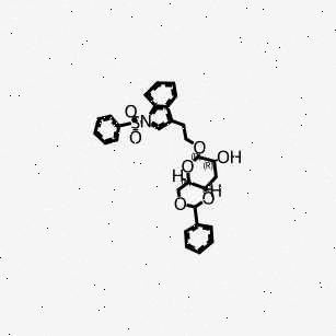 O=S(=O)(c1ccccc1)n1cc(CCO[C@@H]2O[C@@H]3COC(c4ccccc4)O[C@@H]3C[C@H]2O)c2ccccc21